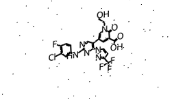 O=C(O)c1cc(-c2cnc(Nc3ccc(F)c(Cl)c3)nc2-n2ccc(C(F)(F)F)n2)cn(CCO)c1=O